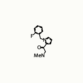 CNCC(=O)c1cccn1Cc1ccccc1F